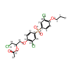 [CH2][CH]COc1ccc(S(=O)(=O)c2ccc(OCC(CCl)OC(C)=O)c(Cl)c2)cc1Cl